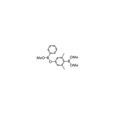 COB(Oc1cc(C)c(B(OC)OC)c(C)c1)c1ccccc1